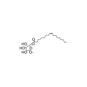 CCCCCCCC/C=C\CCCCCCCC(=O)OC[C@H]1OC(OC)[C@H](O)[C@@H](O)[C@@H]1O